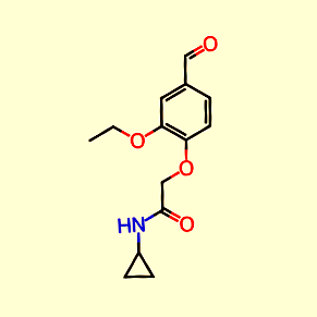 CCOc1cc(C=O)ccc1OCC(=O)NC1CC1